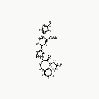 COC1=CC(c2cn([C@@H]3CCc4ccccc4N(CC(F)F)C3=O)nn2)CC=C1n1cnc(C)c1